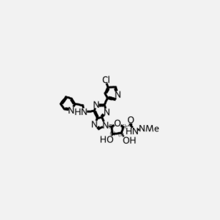 CNNC(=O)[C@H]1O[C@@H](n2cnc3c(NCc4ccccn4)nc(-c4cncc(Cl)c4)nc32)[C@H](O)[C@@H]1O